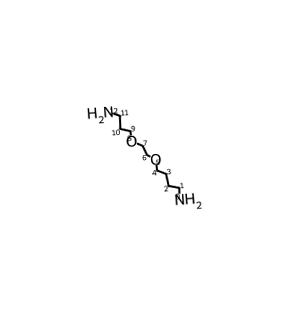 NCCCCOCCOCCCN